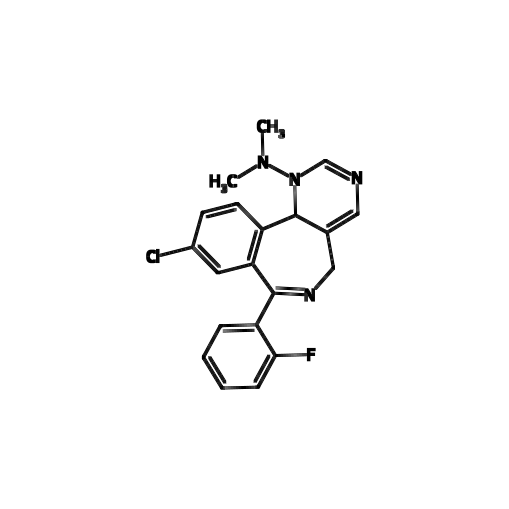 CN(C)N1C=NC=C2CN=C(c3ccccc3F)c3cc(Cl)ccc3C21